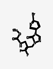 CC(C)(C)OC(=O)NCC(Cn1ncn(-c2ccc(Br)nc2)c1=O)=C(F)F